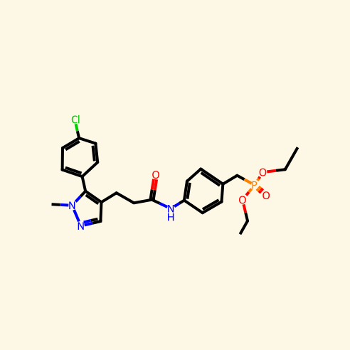 CCOP(=O)(Cc1ccc(NC(=O)CCc2cnn(C)c2-c2ccc(Cl)cc2)cc1)OCC